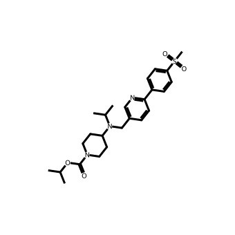 CC(C)OC(=O)N1CCC(N(Cc2ccc(-c3ccc(S(C)(=O)=O)cc3)nc2)C(C)C)CC1